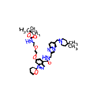 CC1(C)CCN(Cc2ccc3nc(CNC(=O)c4cc(OCCOCCNC(=O)OC(C)(C)C)cc5c4cnn5C4CCCCO4)cn3c2)CC1